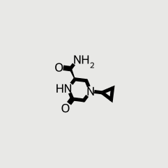 NC(=O)[C@H]1CN(C2CC2)CC(=O)N1